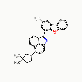 Cc1cc(C2=Nc3ccc(C4CCC(C)(C)C4)c4cccc2c34)c2oc3ccccc3c2c1